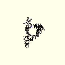 CN1C/C=C/[C@H](OC(=O)N[C@H]2CCOC2)[C@@H]2CC[C@H]2CN2C[C@@]3(CCCc4cc(Cl)ccc43)COc3ccc(cc32)S(=O)(=O)NC(=O)C1(C)C